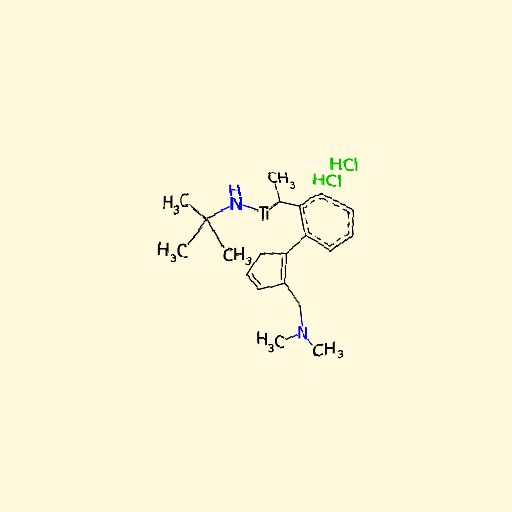 C[CH]([Ti][NH]C(C)(C)C)c1ccccc1C1=C(CN(C)C)C=CC1.Cl.Cl